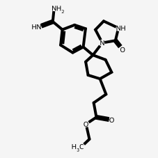 CCOC(=O)CCC1CCC(c2ccc(C(=N)N)cc2)(N2CCNC2=O)CC1